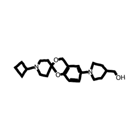 OCC1CCN(c2ccc3c(c2)COC2(CCN(C4CCC4)CC2)O3)CC1